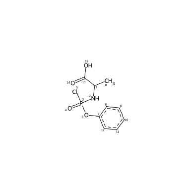 CC(NP(=O)(Cl)Oc1ccccc1)C(=O)O